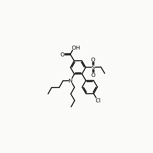 CCCCN(CCCC)c1cc(C(=O)O)cc(S(=O)(=O)CC)c1-c1ccc(Cl)cc1